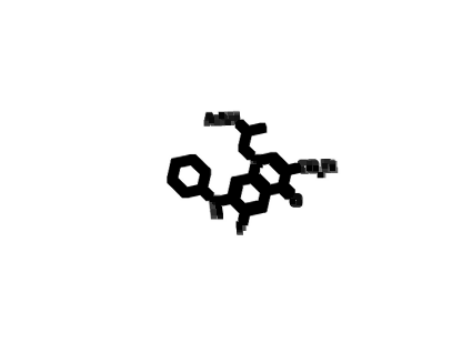 CCOC(=O)c1cn(CC(C)NC(C)=O)c2cc(NC3CCCCC3)c(F)cc2c1=O